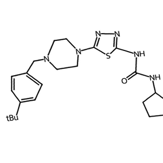 CC(C)(C)c1ccc(CN2CCN(c3nnc(NC(=O)NC4CCCC4)s3)CC2)cc1